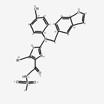 CS(=O)(=O)NC(=O)c1nc(N(Cc2ccc3occc3c2)c2ccc(C#N)cc2)sc1Br